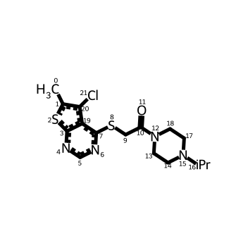 Cc1sc2ncnc(SCC(=O)N3CCN(C(C)C)CC3)c2c1Cl